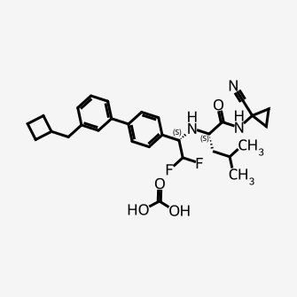 CC(C)C[C@H](N[C@@H](c1ccc(-c2cccc(CC3CCC3)c2)cc1)C(F)F)C(=O)NC1(C#N)CC1.O=C(O)O